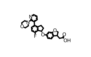 O=C(O)CC1COc2cc(O[C@@H]3CCc4c(-c5cccnc5N5CCOCC5)ccc(F)c43)ccc21